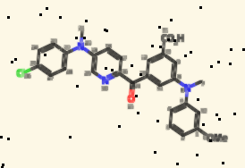 COc1cccc(N(C)c2cc(C(=O)O)cc(C(=O)c3ccc(N(C)c4ccc(Cl)cc4)cn3)c2)c1